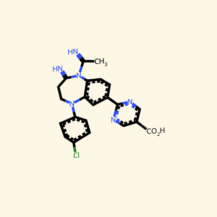 CC(=N)N1C(=N)CCN(c2ccc(Cl)cc2)c2cc(-c3ncc(C(=O)O)cn3)ccc21